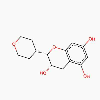 Oc1cc(O)c2c(c1)O[C@@H](C1CCOCC1)[C@@H](O)C2